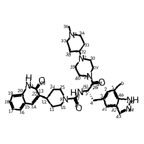 Cc1cc(C[C@H](NC(=O)N2CCC(c3cc4ccccc4[nH]c3=O)CC2)C(=O)N2CCN(C3CCN(C)CC3)CC2)cc2cn[nH]c12